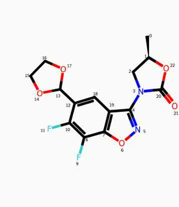 C[C@@H]1CN(c2noc3c(F)c(F)c(C4OCCO4)cc23)C(=O)O1